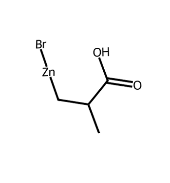 CC([CH2][Zn][Br])C(=O)O